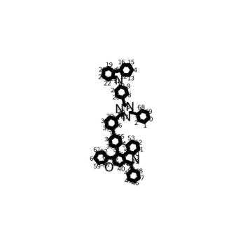 c1ccc(-c2nc(-c3ccc(-n4c5ccccc5c5ccccc54)cc3)nc(-c3cccc(-c4ccc(-c5c6c(cc7c(-c8ccccc8)nc8ccccc8c57)oc5ccccc56)cc4)c3)n2)cc1